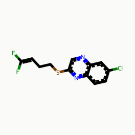 FC(F)=CCCSc1cnc2cc(Cl)ccc2n1